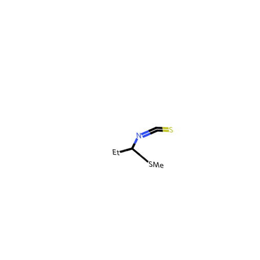 CCC(N=C=S)SC